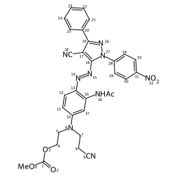 COC(=O)OCCN(CCC#N)c1ccc(N=Nc2c(C#N)c(-c3ccccc3)nn2-c2ccc([N+](=O)[O-])cc2)c(NC(C)=O)c1